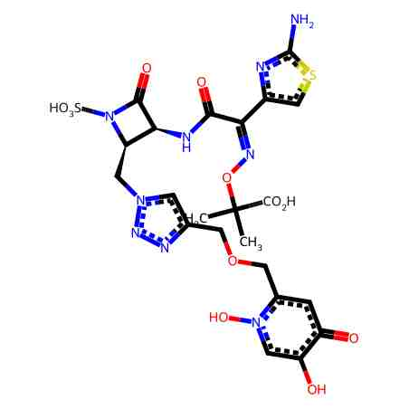 CC(C)(O/N=C(\C(=O)N[C@@H]1C(=O)N(S(=O)(=O)O)[C@@H]1Cn1cc(COCc2cc(=O)c(O)cn2O)nn1)c1csc(N)n1)C(=O)O